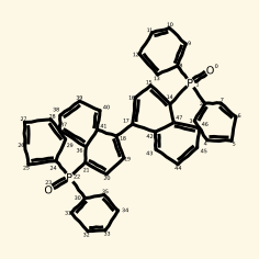 O=P(c1ccccc1)(c1ccccc1)c1ccc(-c2ccc(P(=O)(c3ccccc3)c3ccccc3)c3ccccc23)c2ccccc12